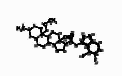 COCC12CCC(C)CC1CCC1C3CCC(C(=O)Cn4nnc5ccc(F)c(F)c54)C3(C)CCC12